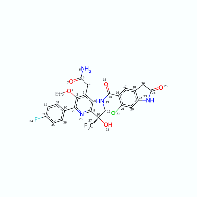 CCOc1c(CC(N)=O)cc([C@@](O)(CNC(=O)c2cc3c(cc2Cl)NC(=O)C3)C(F)(F)F)nc1-c1ccc(F)cc1